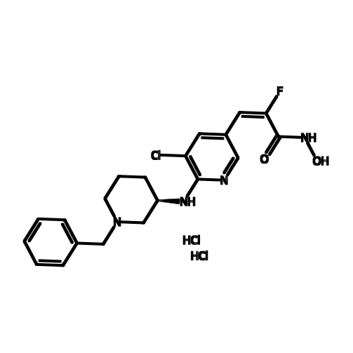 Cl.Cl.O=C(NO)/C(F)=C\c1cnc(N[C@@H]2CCCN(Cc3ccccc3)C2)c(Cl)c1